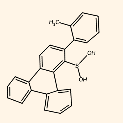 Cc1ccccc1-c1ccc2c3ccccc3c3ccccc3c2c1B(O)O